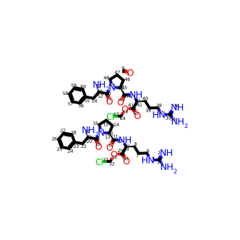 C=O.N=C(N)NCCC[C@H](NC(=O)[C@@H]1CCCN1C(=O)[C@@H](N)Cc1ccccc1)C(=O)OCCl.N=C(N)NCCC[C@H](NC(=O)[C@@H]1CCCN1C(=O)[C@@H](N)Cc1ccccc1)C(=O)OCCl